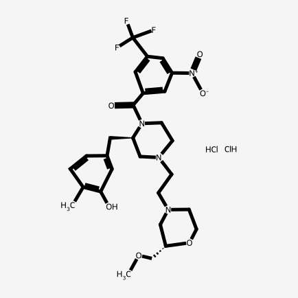 COC[C@@H]1CN(CCN2CCN(C(=O)c3cc([N+](=O)[O-])cc(C(F)(F)F)c3)[C@H](Cc3ccc(C)c(O)c3)C2)CCO1.Cl.Cl